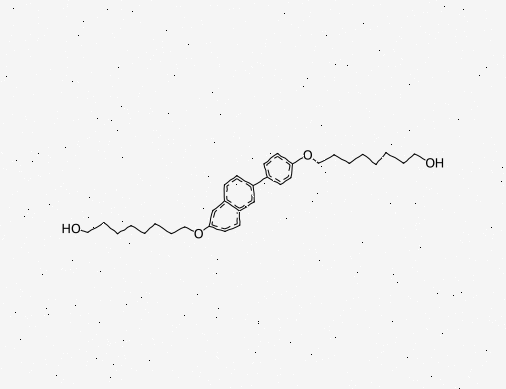 OCCCCCCCCOc1ccc(-c2ccc3cc(OCCCCCCCCO)ccc3c2)cc1